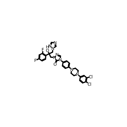 O=c1n(-c2ccc(N3CCN(c4ccc(Cl)c(Cl)c4)CC3)cc2)cnn1CC(O)(Cn1cncn1)c1ccc(F)cc1F